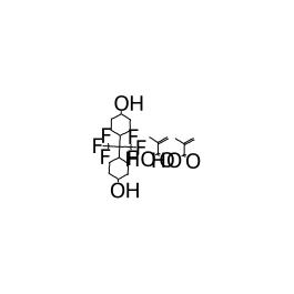 C=C(C)C(=O)O.C=C(C)C(=O)O.OC1CCC(C(C2CCC(O)CC2)(C(F)(F)F)C(F)(F)F)CC1